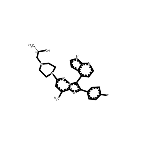 Cc1cc(N2CCN(C[C@H](C)O)CC2)nn2c(-c3ccnc4[nH]ccc34)c(-c3ccc(F)cc3)nc12